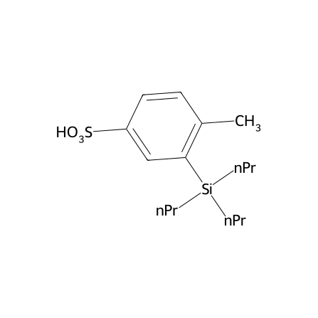 CCC[Si](CCC)(CCC)c1cc(S(=O)(=O)O)ccc1C